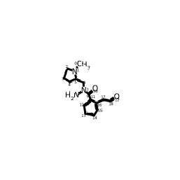 CN1CCCC1CN(N)C(=O)c1ccccc1CC=O